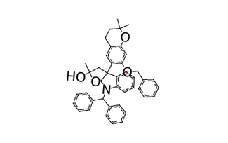 CC(C)(O)CC1(c2cc3c(cc2OCc2ccccc2)OC(C)(C)CC3)C(=O)N(C(c2ccccc2)c2ccccc2)c2ccccc21